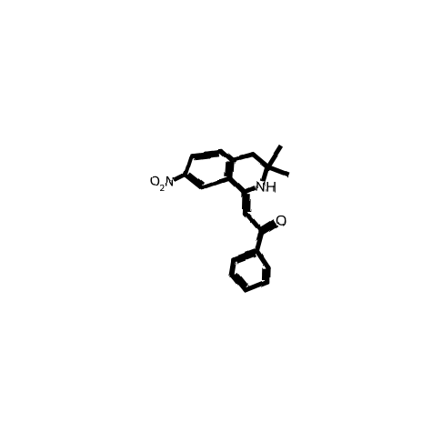 CC1(C)Cc2ccc([N+](=O)[O-])cc2C(=CC(=O)c2ccccc2)N1